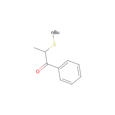 CCCCSC(C)C(=O)c1ccccc1